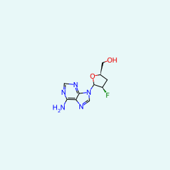 Nc1ncnc2c1ncn2C1O[C@@H](CO)C[C@H]1F